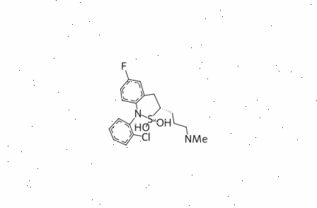 CNCCC[C@H]1Cc2cc(F)ccc2N(c2ccccc2Cl)S1(O)O